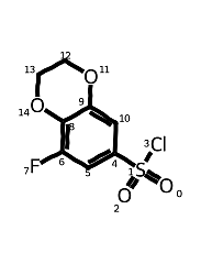 O=S(=O)(Cl)c1cc(F)c2c(c1)OCCO2